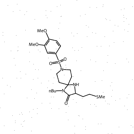 CCCCN1C(=O)C(CCSC)NC12CCN(S(=O)(=O)c1ccc(OC)c(OC)c1)CC2